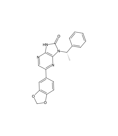 C[C@@H](c1ccccc1)n1c(=O)[nH]c2ncc(-c3ccc4c(c3)OCO4)nc21